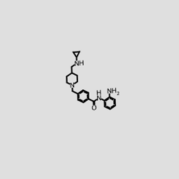 Nc1ccccc1NC(=O)c1ccc(CN2CCC(CNC3CC3)CC2)cc1